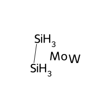 [Mo].[SiH3][SiH3].[W]